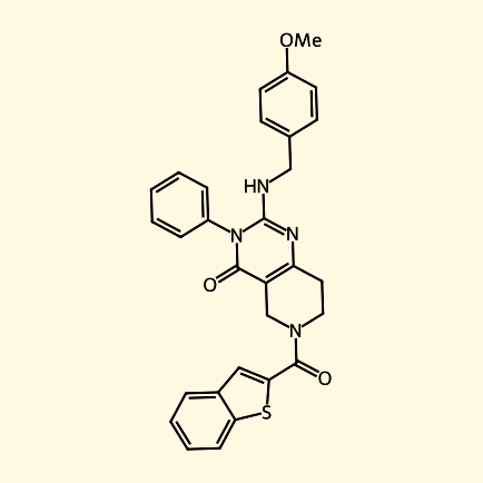 COc1ccc(CNc2nc3c(c(=O)n2-c2ccccc2)CN(C(=O)c2cc4ccccc4s2)CC3)cc1